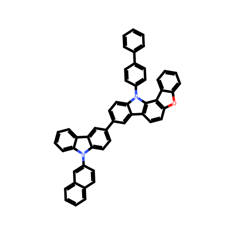 c1ccc(-c2ccc(-n3c4ccc(-c5ccc6c(c5)c5ccccc5n6-c5ccc6ccccc6c5)cc4c4ccc5oc6ccccc6c5c43)cc2)cc1